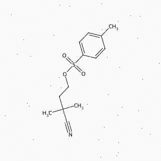 Cc1ccc(S(=O)(=O)OCCC(C)(C)C#N)cc1